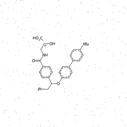 CC(C)CC(Oc1ccc(-c2ccc(C(C)(C)C)cc2)cc1)c1ccc(C(=O)NC[C@@H](O)C(=O)O)cc1